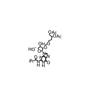 CC(=O)OCC(CCOCO[C@@H]1[C@H](O)[C@@H](CO)O[C@H]1n1cnc2c(=O)[nH]c(NC(=O)C(C)C)nc21)OC(C)=O